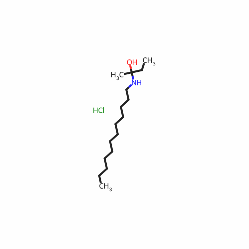 CCCCCCCCCCCCNC(C)(O)CC.Cl